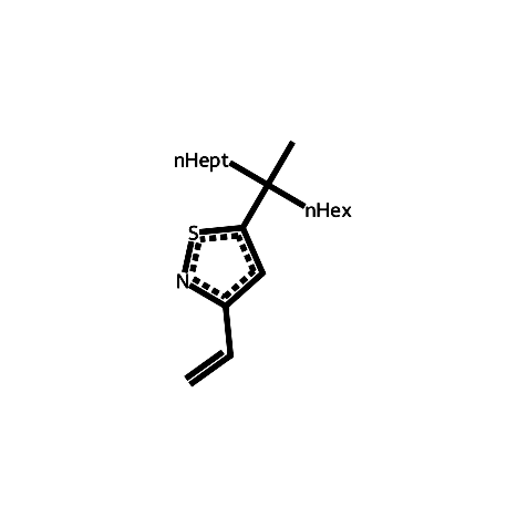 C=Cc1cc(C(C)(CCCCCC)CCCCCCC)sn1